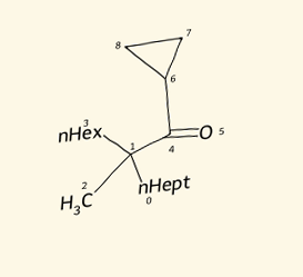 CCCCCCCC(C)(CCCCCC)C(=O)C1CC1